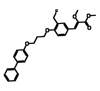 COC(=O)/C(=C/c1ccc(OCCCOc2ccc(-c3ccccc3)cc2)c(CF)c1)OC